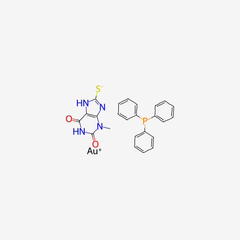 Cn1c(=O)[nH]c(=O)c2[nH]c([S-])nc21.[Au+].c1ccc(P(c2ccccc2)c2ccccc2)cc1